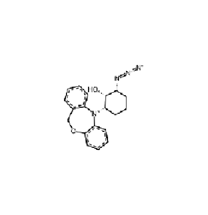 [N-]=[N+]=N[C@@H]1CCC[C@H](N2c3ccccc3COc3ccccc32)[C@@H]1O